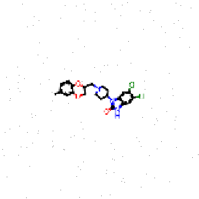 Cc1ccc2c(c1)OCC(CN1CCC(n3c(=O)[nH]c4cc(Cl)c(Cl)cc43)CC1)O2